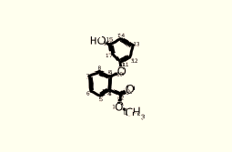 COC(=O)c1ccccc1Oc1cccc(O)c1